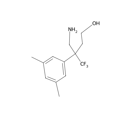 Cc1cc(C)cc(C(CN)(CCO)C(F)(F)F)c1